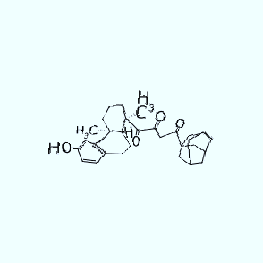 C[C@@]1(C(=O)C(=O)CC(=O)C23CC4CC(CC(C4)C2)C3)CCC[C@]2(C)c3cc(O)ccc3CC[C@@H]12